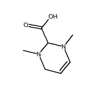 CN1C=CCN(C)C1C(=O)O